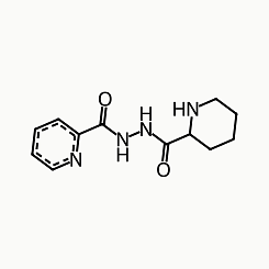 O=C(NNC(=O)C1CCCCN1)c1ccccn1